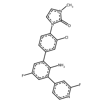 Cn1ccn(-c2ccc(-c3cc(F)cc(-c4ccnc(F)c4)c3N)cc2Cl)c1=O